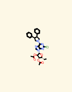 CC[C@H]1O[C@@H](n2cnc3c(N4CC(c5ccccc5)C(c5ccccc5)C4)nc(Cl)nc32)C(OC(C)=O)[C@H]1OC(C)=O